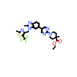 CCOC(=O)C1(C)CCN(c2ncc(-c3ccc4nc(C)n(Cc5nc(C)sc5C(F)(F)F)c4c3)cn2)CC1